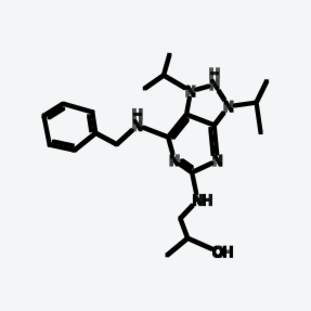 CC(O)CNc1nc(NCc2ccccc2)c2c(n1)N(C(C)C)NN2C(C)C